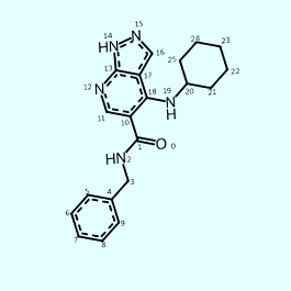 O=C(NCc1ccccc1)c1cnc2[nH]ncc2c1NC1CCCCC1